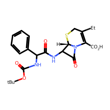 CCC1=C(C(=O)O)N2C(=O)C(NC(=O)C(NC(=O)OC(C)(C)C)c3ccccc3)[C@@H]2SC1